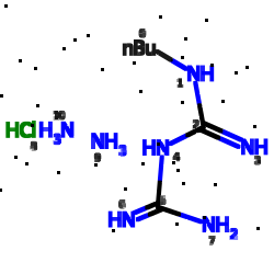 CCCCNC(=N)NC(=N)N.Cl.N.N